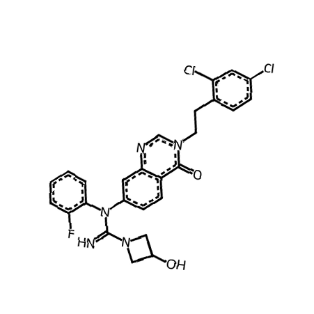 N=C(N1CC(O)C1)N(c1ccc2c(=O)n(CCc3ccc(Cl)cc3Cl)cnc2c1)c1ccccc1F